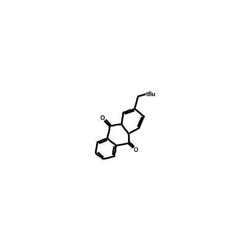 CC(C)(C)CC1=CC2C(=O)c3ccccc3C(=O)C2C=C1